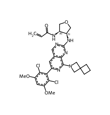 C=CC(=O)N[C@H]1COC[C@H]1Nc1ncc2cc(-c3c(Cl)c(OC)cc(OC)c3Cl)nc(N3CC4(CCC4)C3)c2n1